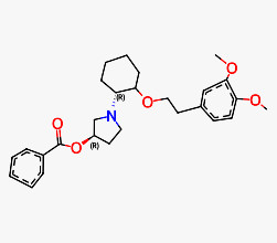 COc1ccc(CCOC2CCCC[C@H]2N2CC[C@@H](OC(=O)c3ccccc3)C2)cc1OC